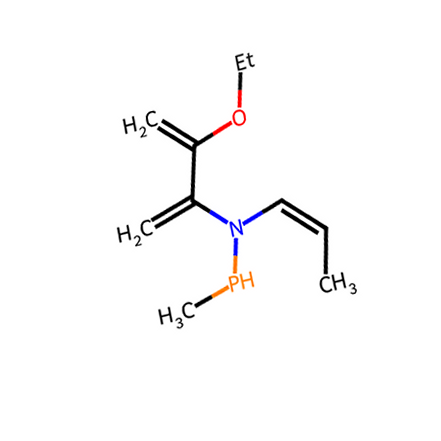 C=C(OCC)C(=C)N(/C=C\C)PC